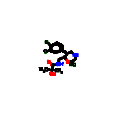 CC(C)(O)C(=O)NCC1OCCNCC1c1ccc(Cl)c(Cl)c1.Cl